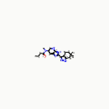 CCCC(=O)N(C)c1cnc2[nH]c(-c3n[nH]c4c3CCC(C)(C)C4)nc2c1